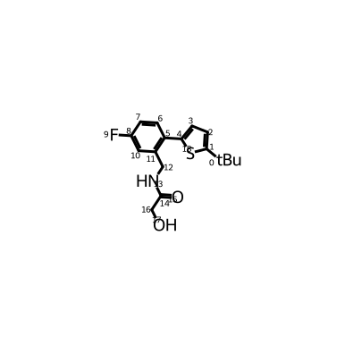 CC(C)(C)c1ccc(-c2ccc(F)cc2CNC(=O)CO)s1